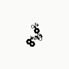 C[C@@H](NCC1COCCN1c1ccc(C(=O)N(C)C)cc1)c1cccc2ccccc12